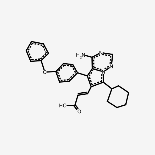 Nc1ncnn2c(C3CCCCC3)c(C=CC(=O)O)c(-c3ccc(Oc4ccccc4)cc3)c12